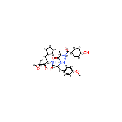 COc1ccc(CC(NC(=O)C(C)NC(=O)C2CCC(O)CC2)C(=O)NC(CC2CCCC2)C(=O)C2(C)CO2)cc1